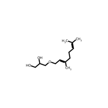 CC(C)=CCCC(C)=CCOCC(O)CO